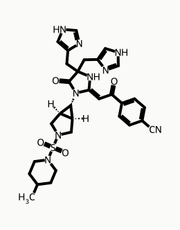 CC1CCN(S(=O)(=O)N2C[C@@H]3[C@H](C2)[C@H]3N2C(=O)C(Cc3c[nH]cn3)(Cc3c[nH]cn3)NC2=CC(=O)c2ccc(C#N)cc2)CC1